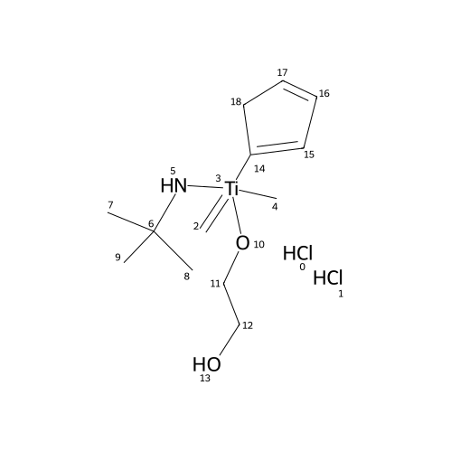 Cl.Cl.[CH2]=[Ti]([CH3])([NH]C(C)(C)C)([O]CCO)[C]1=CC=CC1